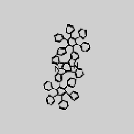 c1ccc(-c2c(-c3ccccc3)c(-c3ccccc3)c(-c3ccc4c(c3)c3c5c6ccccc6n6c7ccc(-c8c(-c9ccccc9)c(-c9ccccc9)c(-c9ccccc9)c(-c9ccccc9)c8-c8ccccc8)cc7c(c7c8ccccc8n4c73)c56)c(-c3ccccc3)c2-c2ccccc2)cc1